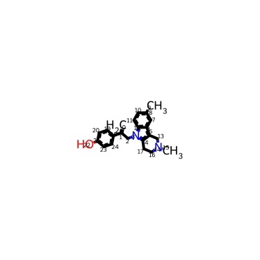 C=C(Cn1c2c(c3cc(C)ccc31)CN(C)CC2)c1ccc(O)cc1